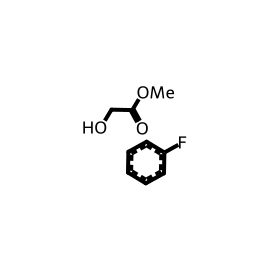 COC(=O)CO.Fc1ccccc1